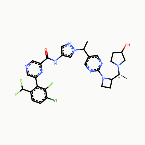 CC(c1cnc(N2CCC2[C@@H](C)N2CCC(O)C2)nc1)n1cc(NC(=O)c2cncc(-c3c(C(F)F)ccc(Cl)c3F)n2)cn1